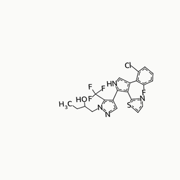 CCC(O)Cn1ncc(-c2[nH]cc(-c3c(F)cccc3Cl)c2-c2nccs2)c1C(F)(F)F